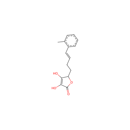 Cc1ccccc1C=CCCC1OC(=O)C(O)=C1O